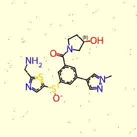 Cn1cc(-c2cc(C(=O)N3CC[C@@H](O)C3)cc([S+]([O-])c3cnc(CN)s3)c2)cn1